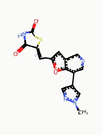 Cn1cc(-c2cncc3cc(/C=C4\SC(=O)NC4=O)oc23)cn1